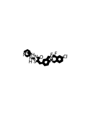 O=C1N=C(N[C@@H]2CN3CCC2CC3)SC1=Cc1ccc2c(cnn2Cc2ccc(Cl)cc2C(F)(F)F)c1